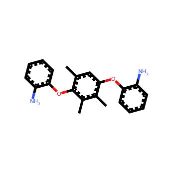 Cc1cc(Oc2ccccc2N)c(C)c(C)c1Oc1ccccc1N